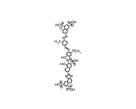 COc1cc(N=Nc2c(S(=O)(=O)O)cc3cc(-n4nc5ccc6c(S(=O)(=O)O)cc(S(=O)(=O)O)cc6c5n4)ccc3c2O)c(O)cc1N=Nc1ccc(N=Nc2ccc3c(S(=O)(=O)O)cc(S(=O)(=O)O)cc3c2)c(C)c1